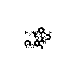 CCc1cc(OC2CCCCO2)cc(OCC(N)=O)c1-c1nc2ccc(F)cn2c1Nc1c(C)cccc1C